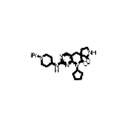 CC(C)N1CCC(Nc2ncc3c(n2)N(C2CCCC2)C(=O)C2(CCNC2=O)C3)CC1